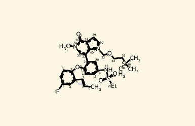 C/C=C/c1cc(F)ccc1Oc1ccc(NS(=O)(=O)CC)cc1-c1cn(C)c(=O)c2ccn(COCC[Si](C)(C)C)c12